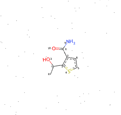 CC(O)c1sccc1C(N)=O